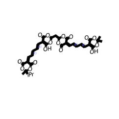 CC(C)C1(C)OC(=O)C(=C/C=C/C=C/C2=C(O)OC(CC3OC(=O)C(=C/C=C/C=C/C4=C(O)OC(C)(C)OC4=O)C(=O)O3)OC2=O)C(=O)O1